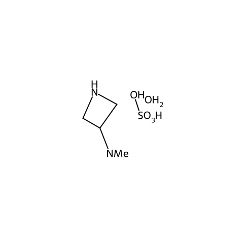 CNC1CNC1.O.O=S(=O)(O)O